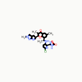 Cc1cc([C@@H](C)Nc2ccc(Cl)nc2-c2noc(=O)[nH]2)c2oc(-c3cnc4nn(C)cc4c3)c(C)c(=O)c2c1